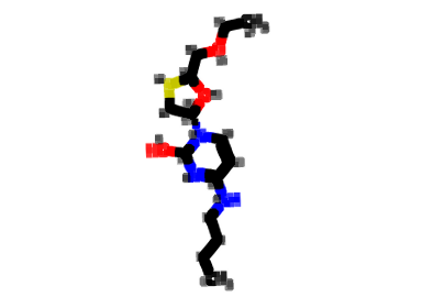 CCCCNC1=NC(O)N([C@@H]2CSC(COCC)O2)C=C1